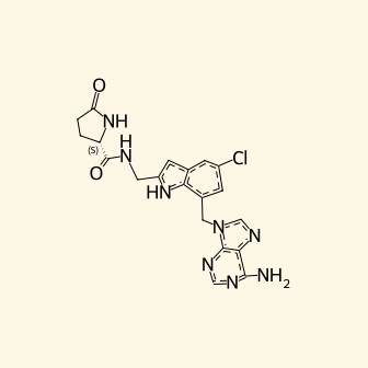 Nc1ncnc2c1ncn2Cc1cc(Cl)cc2cc(CNC(=O)[C@@H]3CCC(=O)N3)[nH]c12